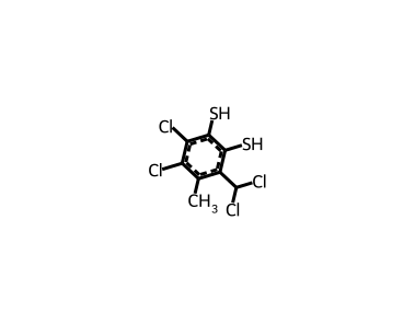 Cc1c(Cl)c(Cl)c(S)c(S)c1C(Cl)Cl